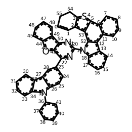 C1=Cc2c(sc3c4ccccc4c4c5ccccc5n(-c5nc(-c6ccc7c(c6)c6ccccc6n7-c6ccccc6)c6oc7ccccc7c6n5)c4c23)CC1